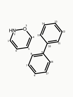 C1=CNOC=C1.c1ccc(-c2ccccc2)cc1